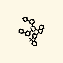 CC1(C)c2ccccc2-c2cc(-c3ccc4ccccc4c3-c3nc(-c4cccc(-c5ccccc5)c4)nc(-c4cccc(-c5ccccc5)c4)n3)ccc21